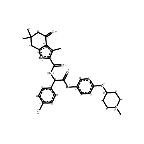 Cc1c(C(=O)NC(C(=O)Nc2ccc(OC3CCN(C)CC3)nc2)c2ccc(Cl)cc2)[nH]c2c1C(=O)CC(C)(C)C2